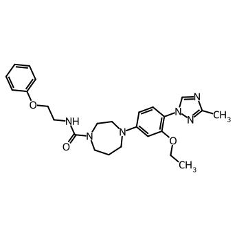 CCOc1cc(N2CCCN(C(=O)NCCOc3ccccc3)CC2)ccc1-n1cnc(C)n1